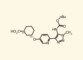 CCCCOC(=O)Nc1c(-c2ccc(O[C@H]3CCC[C@H](C(=O)O)C3)cn2)nnn1C